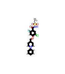 CS(=O)(=O)NC(=O)c1cc(Cl)c(OCC2CCN(c3ccccc3)CC2)cc1F